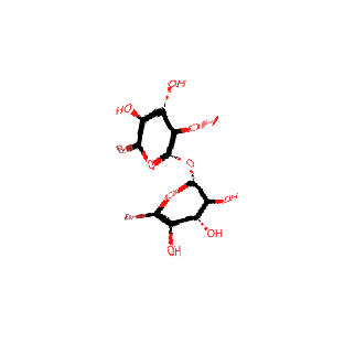 OC1[C@H](O[C@H]2OC(Br)[C@H](O)[C@@H](O)C2O)OC(Br)[C@@H](O)[C@@H]1O